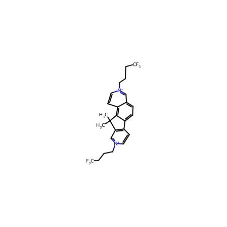 CC1(C)c2c[n+](CCCC(F)(F)F)ccc2-c2ccc3c[n+](CCCC(F)(F)F)ccc3c21